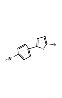 [C-]#[N+]c1ccc(-c2ccc(Br)s2)cc1